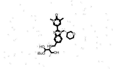 Cc1cc(-c2nc3cc(CN[C@H](C(O)OCC(C)C)[C@@H](C)O)ccc3n2C[C@H]2CCCOC2)cn(C)c1=O